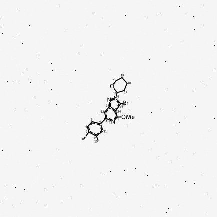 COc1nc(-c2ccc(C)c(C)c2)cc2nn(C3CCCCO3)c(Br)c12